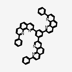 c1ccc(-c2ccc3ccc4cc(-c5cc(-c6ccc7ccc8ccc(-c9ccccc9)nc8c7n6)cc(-c6ccc7ccc8ccc(-c9ccccc9)nc8c7n6)c5)cnc4c3n2)cc1